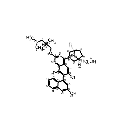 CN(C)CC(C)(C)COc1nc(N2C[C@H]3CC[C@@H](C2)N3)c2cc(Cl)c(-c3cc(O)cc4ccccc34)c(F)c2n1.Cl.Cl